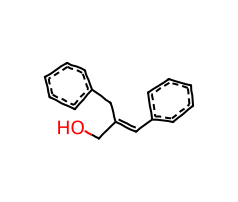 OC/C(=C/c1ccccc1)Cc1ccccc1